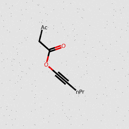 CCCC#COC(=O)CC(C)=O